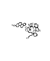 Cn1cnc([N+](=O)[O-])c1Sc1ncnc2nc[nH]c12.O=P1(N(CCCl)CCCl)NCCCO1.OC1CCC2C(CCC3C4CCCC4CCC23)C1